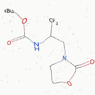 CC(C)(C)OC(=O)NC(CN1CCOC1=O)C(F)(F)F